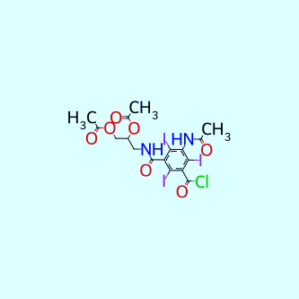 CC(=O)Nc1c(I)c(C(=O)Cl)c(I)c(C(=O)NCC(COC(C)=O)OC(C)=O)c1I